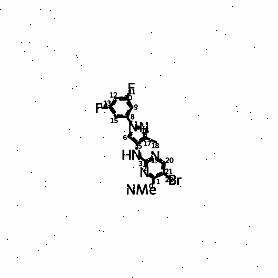 CNc1nc(Nc2cn(-c3cc(F)cc(F)c3)nc2C)ncc1Br